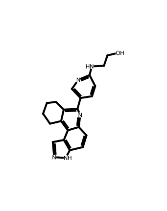 OCCNc1ccc(-c2nc3ccc4[nH]ncc4c3c3c2CCCC3)cn1